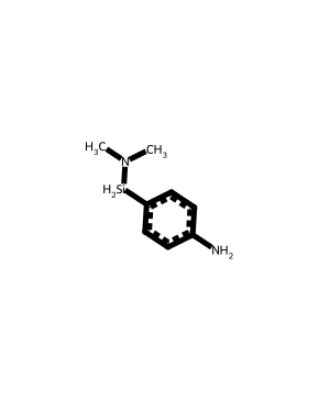 CN(C)[SiH2]c1ccc(N)cc1